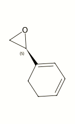 C1=CCCC([C@H]2CO2)=C1